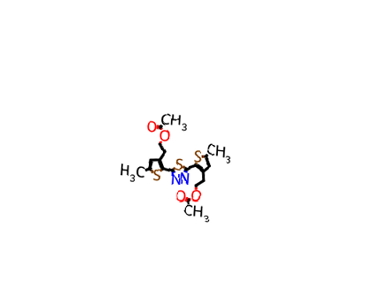 CC(=O)OCCc1cc(C)sc1-c1nnc(-c2sc(C)cc2CCOC(C)=O)s1